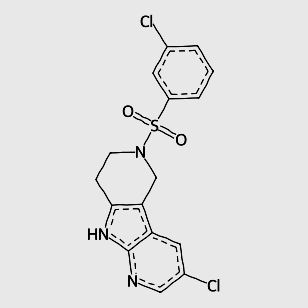 O=S(=O)(c1cccc(Cl)c1)N1CCc2[nH]c3ncc(Cl)cc3c2C1